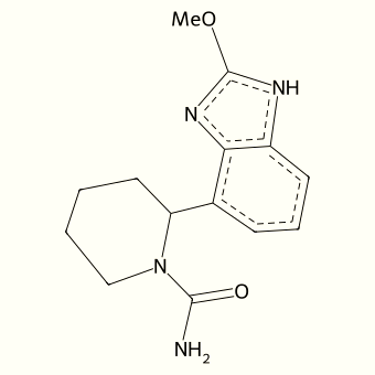 COc1nc2c(C3CCCCN3C(N)=O)cccc2[nH]1